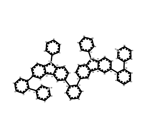 c1ccc(-n2c3ccc(-c4ccccc4-c4cccnc4)cc3c3cc(-c4ccccc4-c4ccc5c(c4)c4cc(-c6ccccc6-c6cccnc6)ccc4n5-c4ccccc4)ccc32)cc1